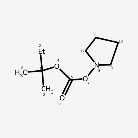 CCC(C)(C)OC(=O)ON1CCCC1